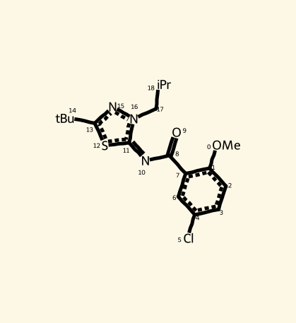 COc1ccc(Cl)cc1C(=O)N=c1sc(C(C)(C)C)nn1CC(C)C